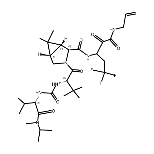 C=CCNC(=O)C(=O)C(CC(F)(F)F)NC(=O)[C@@H]1[C@@H]2[C@H](CN1C(=O)[C@@H](NC(=O)N[C@H](C(=O)N(C)C(C)C)C(C)C)C(C)(C)C)C2(C)C